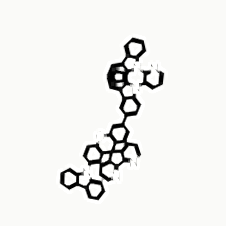 c1cnc(-n2c3ccccc3c3ccccc32)c(-n2c3ccccc3c3cc(-c4ccc5c(c4)Oc4ccc(-n6c7ccccc7c7ccccc76)cc4C54c5cccnc5-c5ncccc54)ccc32)c1